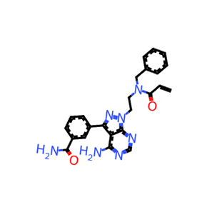 C=CC(=O)N(CCn1nc(-c2cccc(C(N)=O)c2)c2c(N)ncnc21)Cc1ccccc1